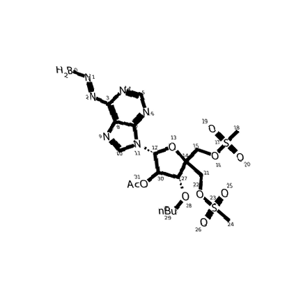 BN=Nc1ncnc2c1ncn2[C@@H]1OC(COS(C)(=O)=O)(COS(C)(=O)=O)[C@H](OCCCC)C1OC(C)=O